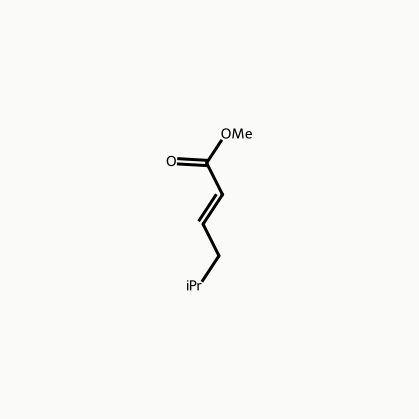 COC(=O)/C=C/CC(C)C